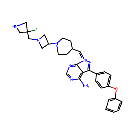 Nc1ncnc2c1C(c1ccc(Oc3ccccc3)cc1)=N/[N+]2=C/C1CCN(C2CN(CC3(F)CNC3)C2)CC1